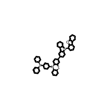 c1ccc(N(c2ccccc2)c2ccc(N3c4ccccc4Sc4cc(-c5ccc6c(c5)c5ccccc5n6-c5cccc6c5oc5ccccc56)ccc43)cc2)cc1